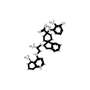 Cc1c(Cl)cccc1NC1(C(=O)O)CCC2(CC1)c1ccccc1C[C@@H]2C[C@@H](C)COc1ccnc2c1[C@H](C)CCC2